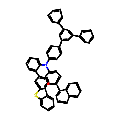 c1ccc(-c2cc(-c3ccccc3)cc(-c3ccc(N(c4ccc(-c5cccc6ccccc56)cc4)c4ccccc4-c4ccc5c(c4)sc4ccccc45)cc3)c2)cc1